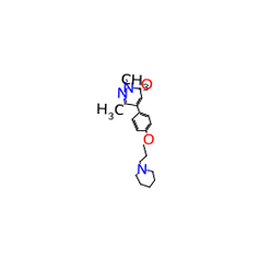 Cc1nn(C)c(=O)cc1-c1ccc(OCCCN2CCCCC2)cc1